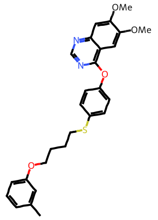 COc1cc2ncnc(Oc3ccc(SCCCCOc4cccc(C)c4)cc3)c2cc1OC